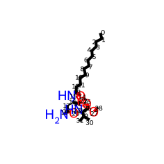 CCCCCCCCCCCCCC(=O)N[C@H](CC(N)=O)C(=O)NC(C(=O)OC)C(C)C